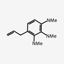 C=CCc1ccc(NC)c(NC)c1NC